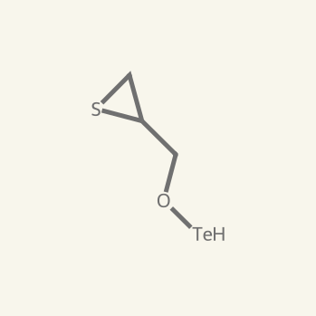 [TeH]OCC1CS1